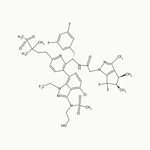 C[C@@H]1c2c(C(F)(F)F)nn(CC(=O)N[C@@H](Cc3cc(F)cc(F)c3)c3nc(CCC(C)(C)S(C)(=O)=O)ccc3-c3ccc(Cl)c4c(N(CCO)S(C)(=O)=O)nn(CC(F)(F)F)c34)c2C(F)(F)[C@@H]1C